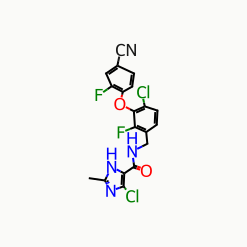 Cc1nc(Cl)c(C(=O)NCc2ccc(Cl)c(Oc3ccc(C#N)cc3F)c2F)[nH]1